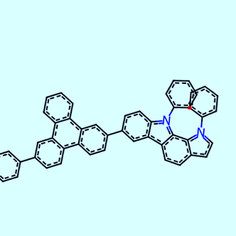 c1ccc(-c2ccc3c4ccc(-c5ccc6c(c5)c5ccc7ccn(-c8ccccc8)c7c5n6-c5ccccc5)cc4c4ccccc4c3c2)cc1